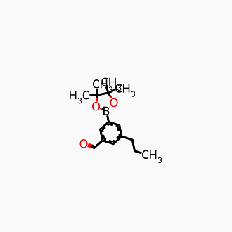 CCCc1cc(C=O)cc(B2OC(C)(C)C(C)(C)O2)c1